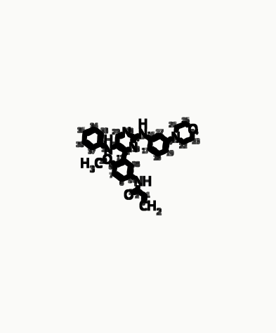 C=CC(=O)Nc1ccc(OC)c(-c2nc(Nc3cccc(N4CCOCC4)c3)ncc2Nc2ccccc2)c1